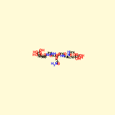 CC(=O)NC1C(OCC(C)(C)CC(C)(C)CC(=O)NCC(C)(C)CC(C)(C)NC(=O)C(C)(C)CC(C)(C)OCC(COC(C)CC(C)(C)C(N)=O)OC(C)(C)CC(C)(C)C(=O)NC(C)(C)CC(C)(C)CNC(=O)CC(C)(C)CC(C)(C)COC2OC(CO)C(O)C(O)C2NC(C)=O)OC(CO)C(O)C1O